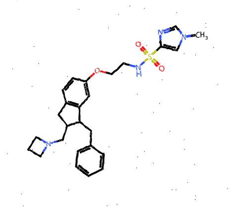 Cn1cnc(S(=O)(=O)NCCOc2ccc3c(c2)C(Cc2ccccc2)C(CN2CCC2)C3)c1